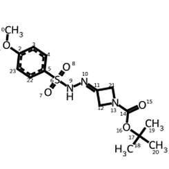 COc1ccc(S(=O)(=O)NN=C2CN(C(=O)OC(C)(C)C)C2)cc1